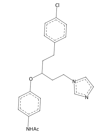 CC(=O)Nc1ccc(OC(CCc2ccc(Cl)cc2)CCn2ccnc2)cc1